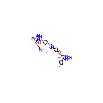 CC(C)C(NC(=O)N(C=N)c1ccc(N2CCN(c3ccc(OCC4COC(Cn5cncn5)(c5ccc(F)cc5F)C4)cc3)CC2)cc1)C(C)OCCCN